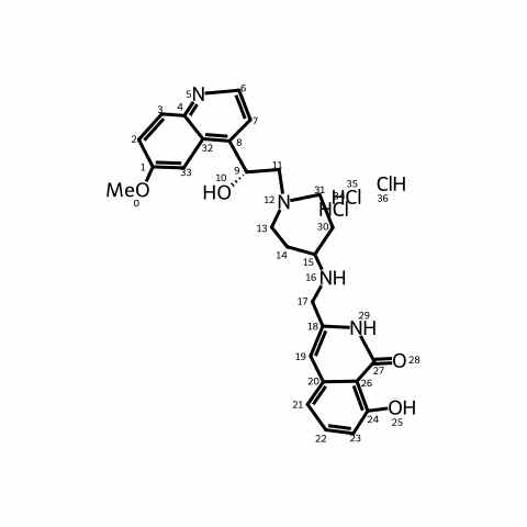 COc1ccc2nccc([C@@H](O)CN3CCC(NCc4cc5cccc(O)c5c(=O)[nH]4)CC3)c2c1.Cl.Cl.Cl